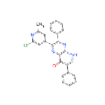 Cc1cc(-c2nc3c(=O)c(-c4ccccc4)c[nH]c3nc2-c2ccccc2)cc(Cl)n1